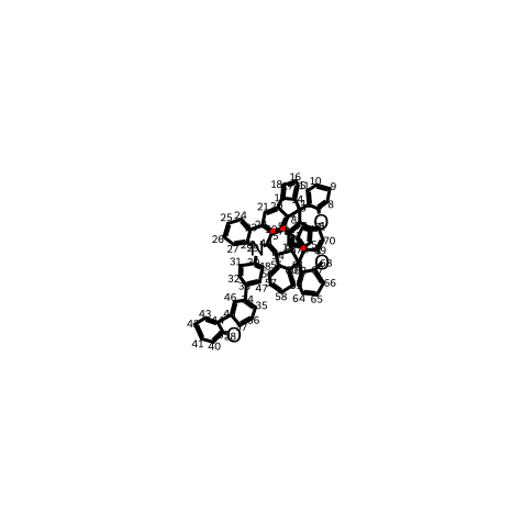 c1ccc2c(c1)Oc1ccccc1C21c2ccccc2-c2cc(-c3ccccc3N(c3ccc(-c4ccc5oc6ccccc6c5c4)cc3)c3cccc4c3-c3ccccc3C43c4ccccc4Oc4ccccc43)ccc21